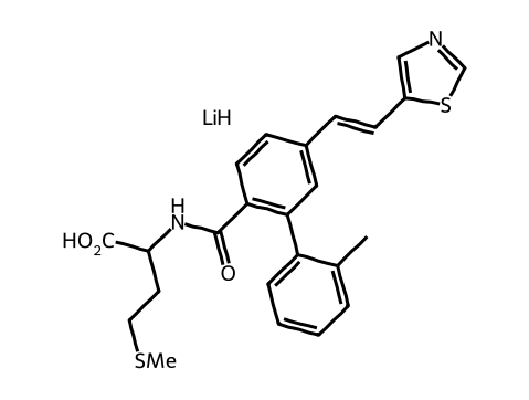 CSCCC(NC(=O)c1ccc(/C=C/c2cncs2)cc1-c1ccccc1C)C(=O)O.[LiH]